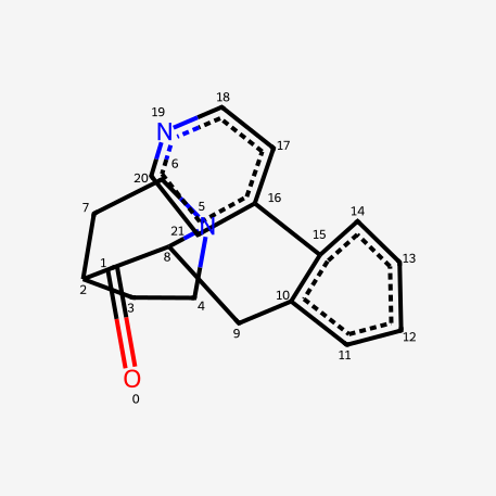 O=C1C2CCN(CC2)C1Cc1ccccc1-c1ccncc1